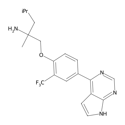 CC(C)CC(C)(N)COc1ccc(-c2ncnc3[nH]ccc23)cc1C(F)(F)F